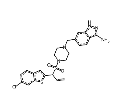 C=CC(c1cc2ccc(Cl)cc2s1)S(=O)(=O)N1CCN(Cc2ccc3c(N)n[nH]c3c2)CC1